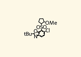 COC1CCCC1S(=O)(=O)c1c(Cl)ccc2nc(C(C)(C)C)oc12